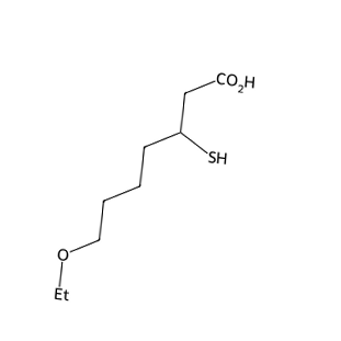 CCOCCCCC(S)CC(=O)O